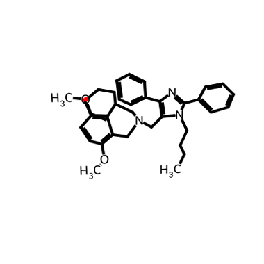 CCCCn1c(-c2ccccc2)nc(-c2ccccc2)c1CN(Cc1cc(OC)ccc1OC)CC1CCCCC1